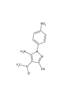 N#Cc1nn(-c2ccc([N+](=O)[O-])cc2)c(N)c1[S+]([O-])C(F)(F)F